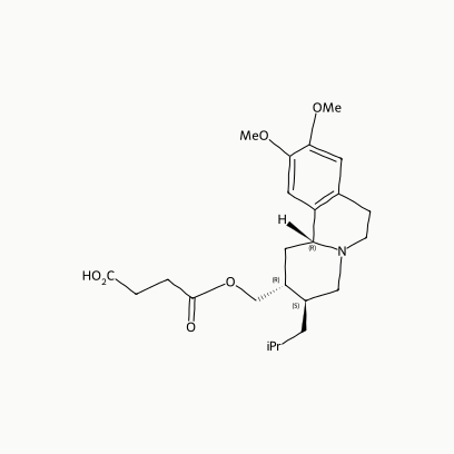 COc1cc2c(cc1OC)[C@H]1C[C@@H](COC(=O)CCC(=O)O)[C@H](CC(C)C)CN1CC2